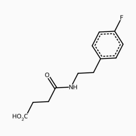 O=C(O)CCC(=O)NCCc1ccc(F)cc1